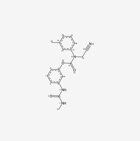 CNC(=O)Nc1cccc(OC(=O)N(CC#N)c2cccc(C)c2)c1